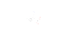 COc1c(F)ccc2c1C1(CCC(CN(C)C)O1)C(C)(C)C2.O=C(O)C=CC(=O)O